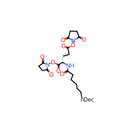 CCCCCCCCCCCCCCCC(=O)N[C@@H](CCC(=O)ON1C(=O)CCC1=O)C(=O)ON1C(=O)CCC1=O